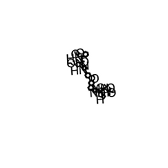 COC[C@H]1C[C@@H](c2ncc(-c3ccc4c(c3)COc3cc5c(ccc6nc([C@@H]7C[C@@H]8CC[C@@H]8N7C(=O)[C@@H](NC(=O)OC)C(C)C)[nH]c65)cc3-4)[nH]2)N(C(=O)[C@H](NC(=O)OC)c2ccccc2)C1